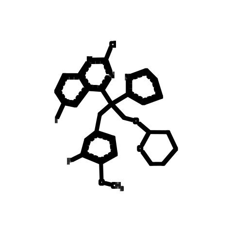 COc1ccc(CC(COC2CCCCO2)(c2ccccn2)c2nc(Cl)nc3ccc(I)cc23)cc1F